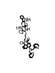 O=C1N[C@@H](Cc2c[nH]c3ccccc23)C(=O)N[C@H]1CCCCN1C(=O)c2cccc3c(N(Cc4ccccn4)Cc4ccccn4)ccc(c23)C1=O